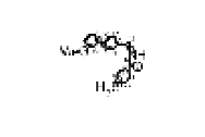 COc1cccc(-c2ccc(C3C[C@H]3NCC(=O)N3CCN(C)CC3)cc2)c1